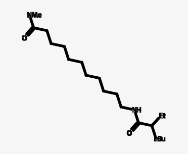 CCCCC(CC)C(=O)NCCCCCCCCCCC(=O)NC